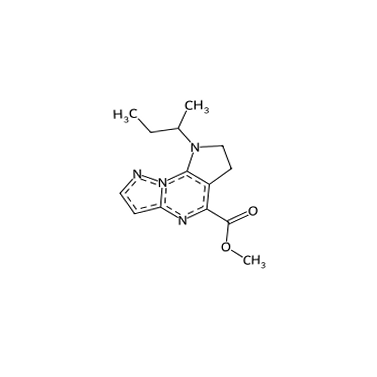 CCC(C)N1CCc2c(C(=O)OC)nc3ccnn3c21